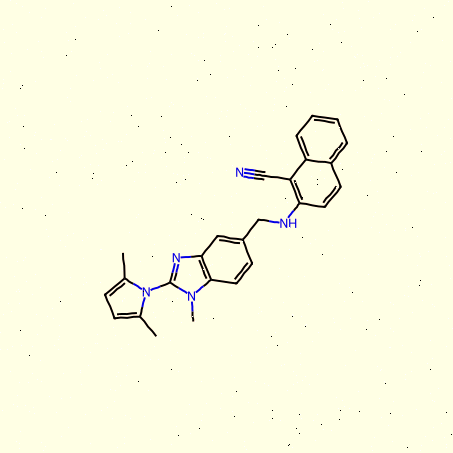 Cc1ccc(C)n1-c1nc2cc(CNc3ccc4ccccc4c3C#N)ccc2n1C